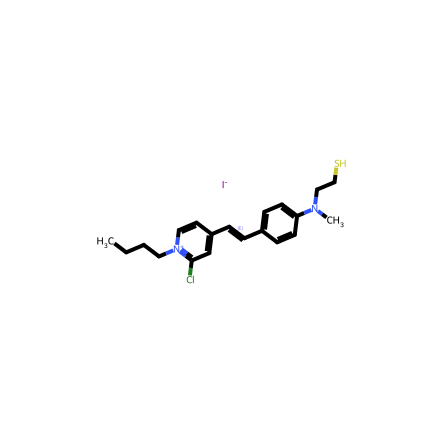 CCCC[n+]1ccc(/C=C/c2ccc(N(C)CCS)cc2)cc1Cl.[I-]